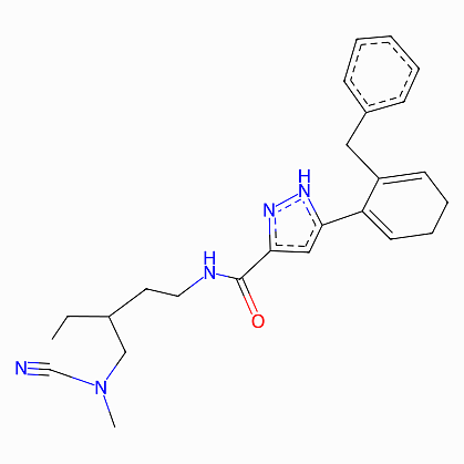 CCC(CCNC(=O)c1cc(C2=CCCC=C2Cc2ccccc2)[nH]n1)CN(C)C#N